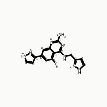 Nc1nc(NCc2cc[nH]n2)c2c(Cl)cc(-c3cc[nH]n3)cc2n1